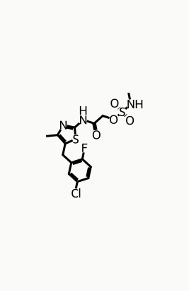 CNS(=O)(=O)OCC(=O)Nc1nc(C)c(Cc2cc(Cl)ccc2F)s1